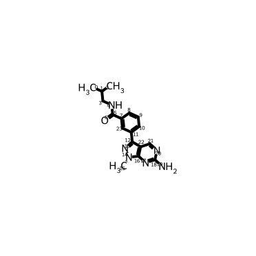 CC(C)CNC(=O)c1cccc(-c2nn(C)c3nc(N)ncc23)c1